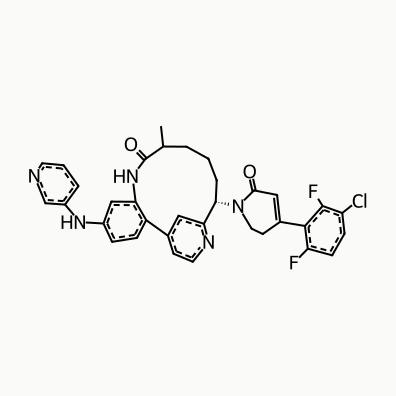 CC1CCC[C@H](N2CCC(c3c(F)ccc(Cl)c3F)=CC2=O)c2cc(ccn2)-c2ccc(Nc3cccnc3)cc2NC1=O